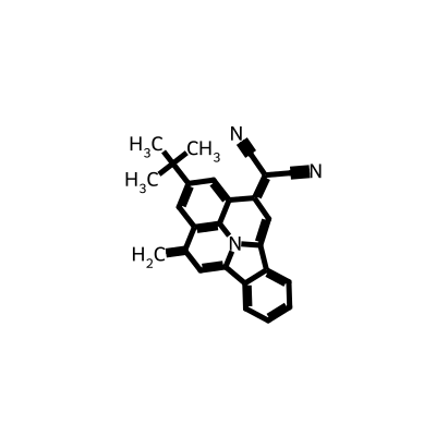 C=c1cc2c3ccccc3c3cc(=C(C#N)C#N)c4cc(C(C)(C)C)cc1c4n23